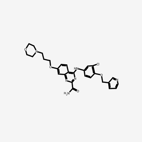 NC(=O)c1nc(Nc2ccc(OCc3cccnc3)c(Cl)c2)c2c[c]c(OCCCN3CCOCC3)cc2n1